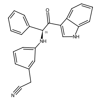 N#CCc1cccc(N[C@H](C(=O)c2c[nH]c3ccccc23)c2ccccc2)c1